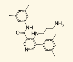 Cc1cc(C)cc(NC(=O)c2cncc(-c3cc(C)cc(C)c3)c2NCCCN)c1